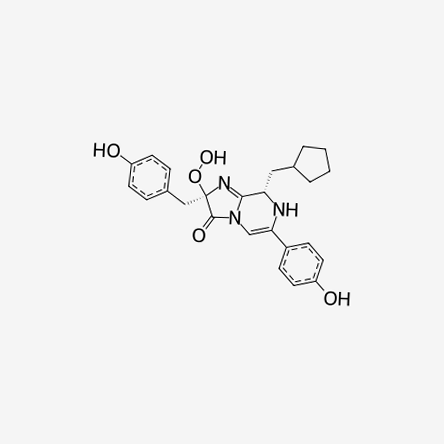 O=C1N2C=C(c3ccc(O)cc3)N[C@@H](CC3CCCC3)C2=N[C@]1(Cc1ccc(O)cc1)OO